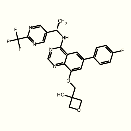 C[C@@H](Nc1ncnc2c(OCC3(O)COC3)cc(-c3ccc(F)cc3)cc12)c1cnc(C(F)(F)F)nc1